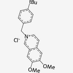 COc1cc2cc[n+](Cc3ccc(C(C)(C)C)cc3)cc2cc1OC.[Cl-]